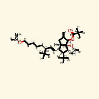 C=C1C[C@H]2[C@@H](C=C[C@H](CCCCCO[SiH](C)C)C(C)(C)C)[C@H](C(C)(C)C)C[C@@]2(O[SiH](C)C)C1OC(=O)C(C)(C)C